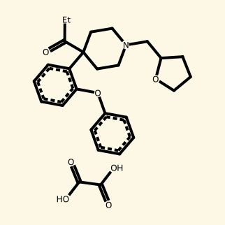 CCC(=O)C1(c2ccccc2Oc2ccccc2)CCN(CC2CCCO2)CC1.O=C(O)C(=O)O